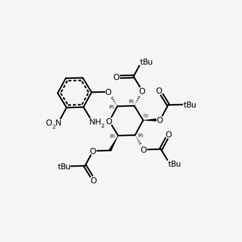 CC(C)(C)C(=O)OC[C@H]1O[C@H](Oc2cccc([N+](=O)[O-])c2N)[C@H](OC(=O)C(C)(C)C)[C@@H](OC(=O)C(C)(C)C)[C@@H]1OC(=O)C(C)(C)C